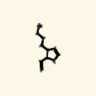 O=CC1SC=CC1OCCO